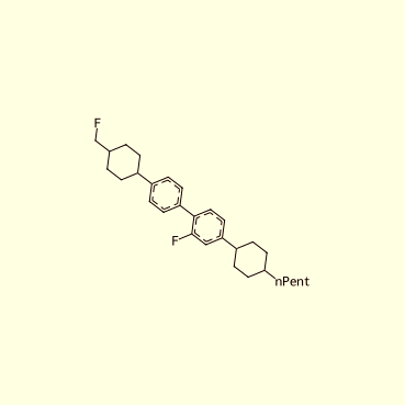 CCCCCC1CCC(c2ccc(-c3ccc(C4CCC(CF)CC4)cc3)c(F)c2)CC1